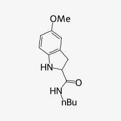 CCCCNC(=O)C1Cc2cc(OC)ccc2N1